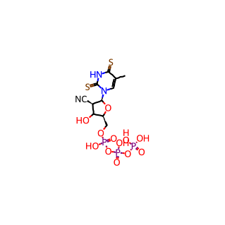 Cc1cn([C@H]2O[C@@H](COP(=O)(O)OP(=O)(O)OP(=O)(O)O)C(O)[C@H]2C#N)c(=S)[nH]c1=S